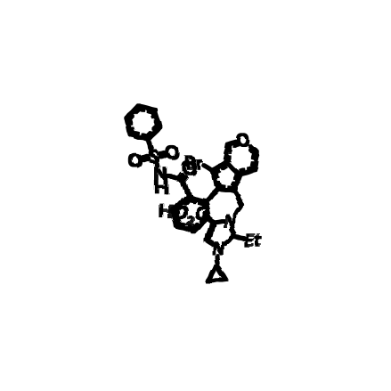 CCC1N(Cc2c3ccocc-3c(Br)c2-c2ccccc2C(=O)NS(=O)(=O)c2ccccc2)C(C(=O)O)=CN1C1CC1